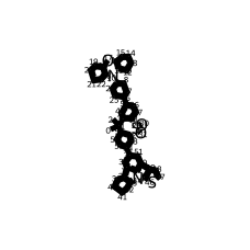 CC1(C)c2cc(-c3ccc(N4c5ccccc5Oc5ccccc54)cc3)ccc2S(=O)(=O)c2cc(-c3cc4c5ccccc5n5c6sccc6c(c3)c45)ccc21